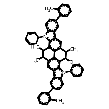 Cc1ccccc1-c1ccc2c(c1)c1cc3c4c(c1n2-c1ccccc1)C(C)C(C)c1cc2c5cc(-c6ccccc6C)ccc5n(C5C=CC=CC5)c2c(c1-4)C(C)C3C